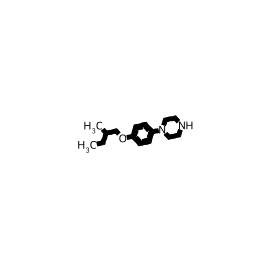 CCC(C)COc1ccc(N2CCNCC2)cc1